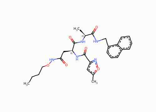 CCCCONC(=O)C[C@H](NC(=O)c1cc(C)on1)C(=O)N[C@@H](C)C(=O)NCc1cccc2ccccc12